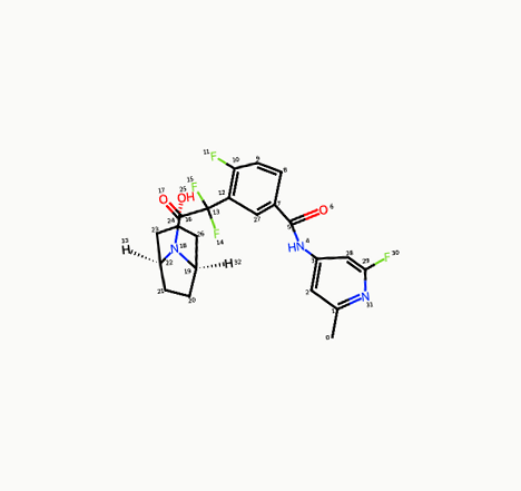 Cc1cc(NC(=O)c2ccc(F)c(C(F)(F)C(=O)N3[C@@H]4CC[C@H]3C[C@H](O)C4)c2)cc(F)n1